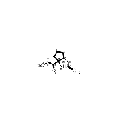 C=CC[C@H]1CCC[C@@]1(NC(C)=O)C(=O)NC(C)(C)C